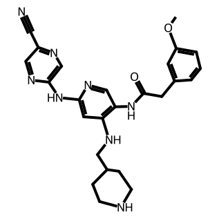 COc1cccc(CC(=O)Nc2cnc(Nc3cnc(C#N)cn3)cc2NCC2CCNCC2)c1